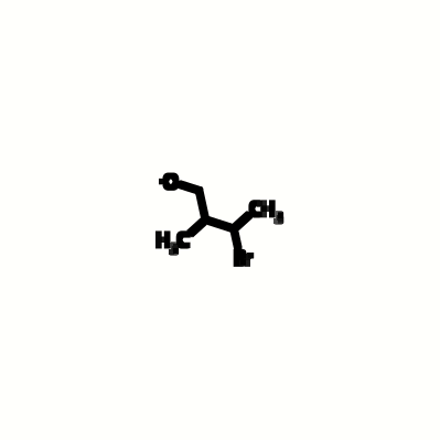 CC(Br)C(C)C[O]